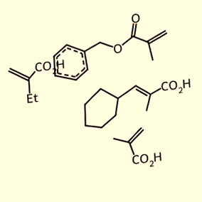 C=C(C)C(=O)O.C=C(C)C(=O)OCc1ccccc1.C=C(CC)C(=O)O.CC(=CC1CCCCC1)C(=O)O